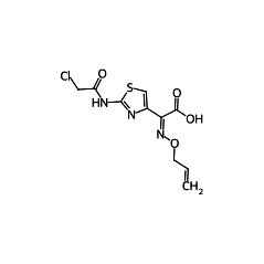 C=CCO/N=C(\C(=O)O)c1csc(NC(=O)CCl)n1